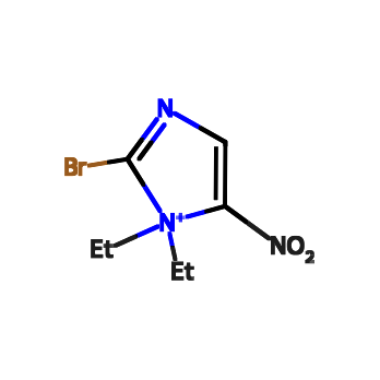 CC[N+]1(CC)C([N+](=O)[O-])=CN=C1Br